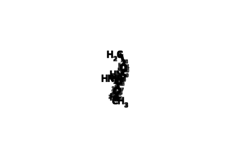 C=CCCC1C=CC(C(CC(C)C)NC2=C(C=N)CC(C3C=CC(C(C)(F)F)=CC3)C=C2)=CC1